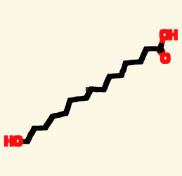 O=C(O)CCCCCC[CH]CCCCCCCO